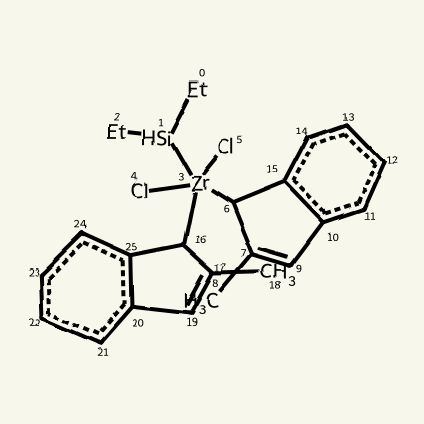 CC[SiH](CC)[Zr]([Cl])([Cl])([CH]1C(C)=Cc2ccccc21)[CH]1C(C)=Cc2ccccc21